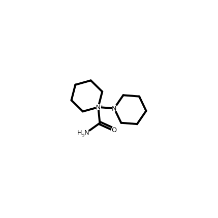 NC(=O)[N+]1(N2CCCCC2)CCCCC1